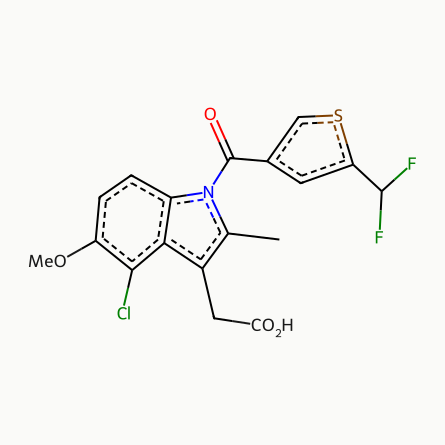 COc1ccc2c(c1Cl)c(CC(=O)O)c(C)n2C(=O)c1csc(C(F)F)c1